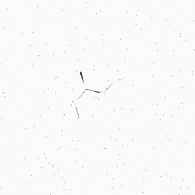 CC(C)N[C@@H](C)NC=O